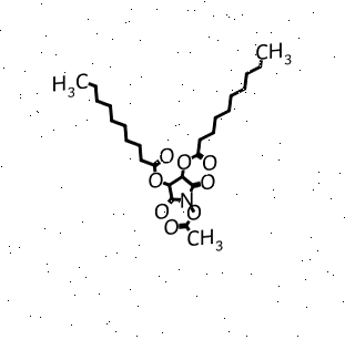 CCCCCCCCCC(=O)OC1C(=O)N(OC(C)=O)C(=O)C1OC(=O)CCCCCCCCC